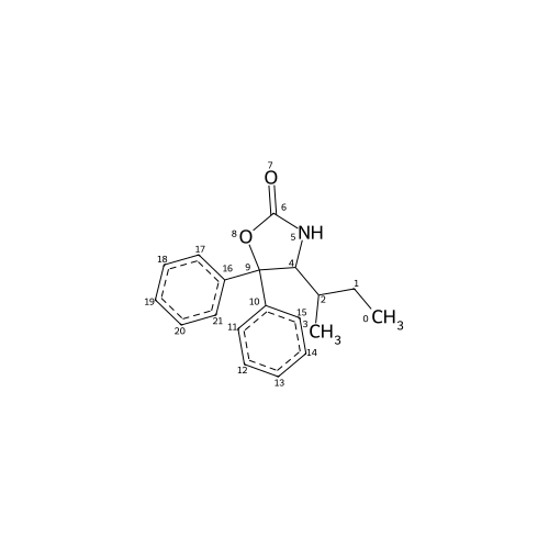 CCC(C)C1NC(=O)OC1(c1ccccc1)c1ccccc1